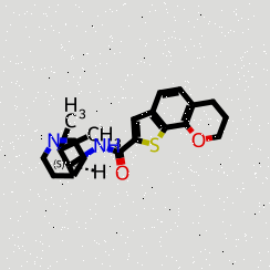 CC1(C)[C@@H](NC(=O)c2cc3ccc4c(c3s2)OCCC4)C2CCN1CC2